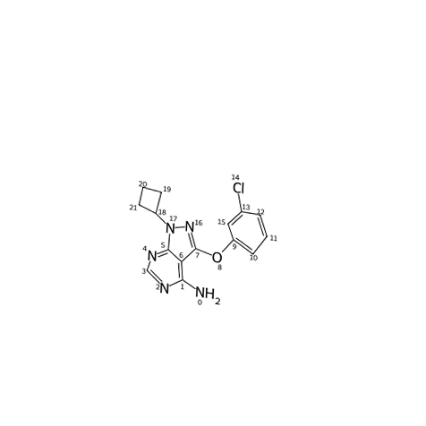 Nc1ncnc2c1c(Oc1cccc(Cl)c1)nn2C1CCC1